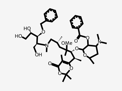 COC(C)(C[C@@H](C)CN(C)[C@@H](CO)[C@H](OCc1ccccc1)[C@@H](O)CO)[C@H](OC1OC(C)CC(N(C)C)C1OC(=O)c1ccccc1)[C@@H](C)C1=C(C)C(=O)OC(C)(C)O1